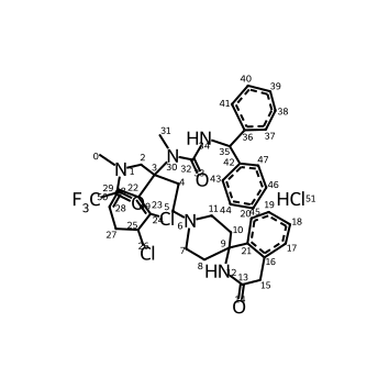 CN(CC(CCN1CCC2(CC1)NC(=O)Cc1ccccc12)(C1=C(Cl)C(Cl)CC=C1)N(C)C(=O)NC(c1ccccc1)c1ccccc1)C(=O)C(F)(F)F.Cl